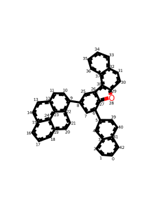 c1ccc2cc(-c3cc(-c4ccc5ccc6cccc7ccc4c5c67)cc4c3oc3ccc5ccccc5c34)ccc2c1